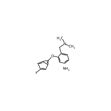 CN(C)Cc1ccccc1Oc1c2cc(I)cc1-2.N